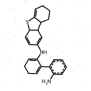 Nc1ccccc1C1=CCCC=C1NC1=CC2C(C=C1)SC1=CCCCC12